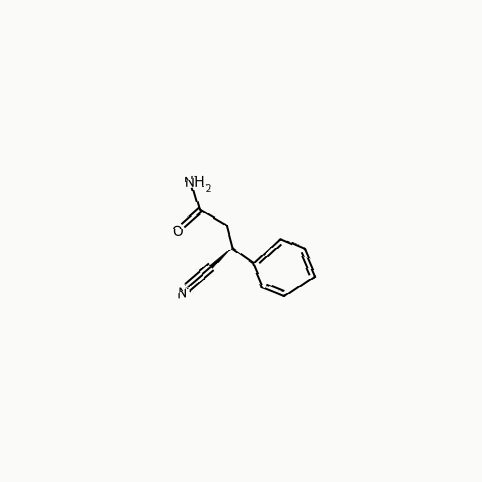 N#C[C@@H](CC(N)=O)c1ccccc1